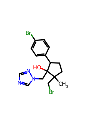 CC1(CBr)CCC(c2ccc(Br)cc2)C1(O)Cn1cncn1